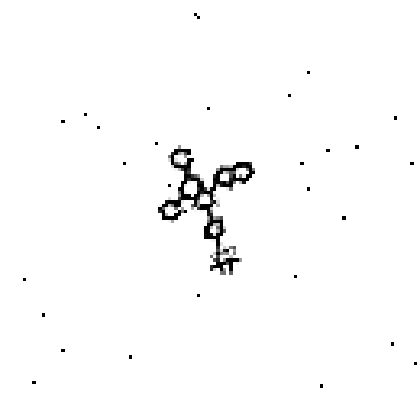 CC1(C)OB(c2ccc(-c3nc(-c4ccc5ccccc5c4)c4cc(-c5ccccc5)cc(-c5ccccc5)c4n3)cc2)OC1(C)C